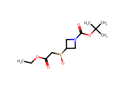 CCOC(=O)C[S@+]([O-])C1CN(C(=O)OC(C)(C)C)C1